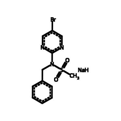 CS(=O)(=O)N(Cc1ccccc1)c1ncc(Br)cn1.[NaH]